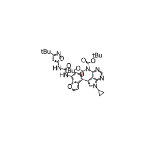 CC(C)(C)OC(=O)N(C(=O)OC(C)(C)C)c1ncnc2c1c(-c1ccc(NC(=O)Nc3cc(C(C)(C)C)no3)c3occc13)cn2C1CC1